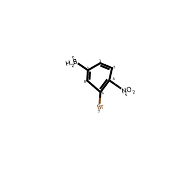 Bc1ccc([N+](=O)[O-])c(Br)c1